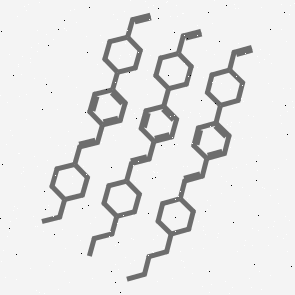 C=CC1CCC(c2ccc(/C=C/C3CCC(CC)CC3)cc2)CC1.C=CC1CCC(c2ccc(/C=C/C3CCC(CCC)CC3)cc2)CC1.C=CC1CCC(c2ccc(/C=C/C3CCC(CCCC)CC3)cc2)CC1